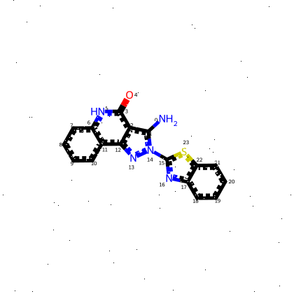 Nc1c2c(=O)[nH]c3ccccc3c2nn1-c1nc2ccccc2s1